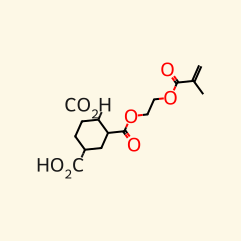 C=C(C)C(=O)OCCOC(=O)C1CC(C(=O)O)CCC1C(=O)O